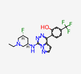 CCN1C[C@H](F)C[C@@H](Nc2nnc(-c3ccc(C(F)(F)F)cc3O)c3ccnn23)C1